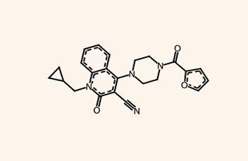 N#Cc1c(N2CCN(C(=O)c3ccco3)CC2)c2ccccc2n(CC2CC2)c1=O